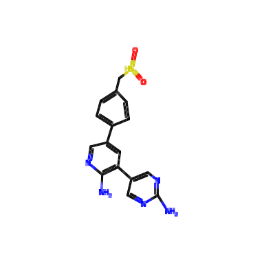 Nc1ncc(-c2cc(-c3ccc(C[SH](=O)=O)cc3)cnc2N)cn1